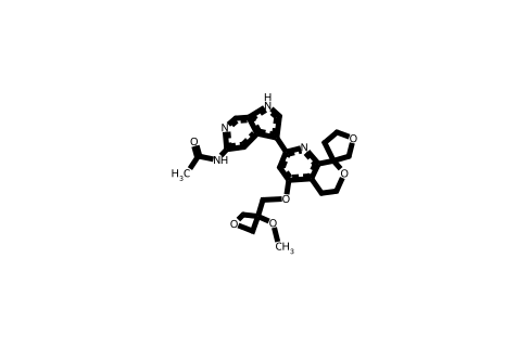 COC1(COc2cc(-c3c[nH]c4cnc(NC(C)=O)cc34)nc3c2CCOC32CCOC2)COC1